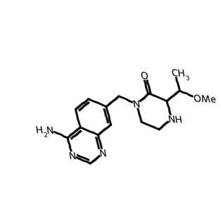 COC(C)C1NCCN(Cc2ccc3c(N)ncnc3c2)C1=O